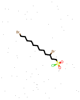 O=S(=O)(Cl)CCC(Br)CCCCCCCCCBr